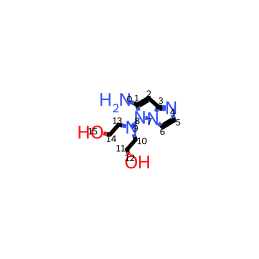 Nc1cc2nccn2n1N(CCO)CCO